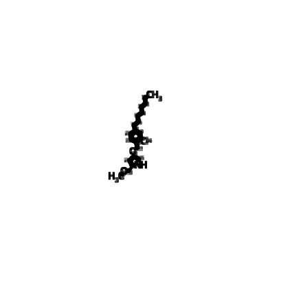 CCCCCCCCc1ccc(CO[C@@H]2CN[C@@H](COC)C2)cc1.Cl